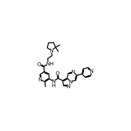 Cc1ncc(C(=O)NCCN2CCCC2(C)C)cc1NC(=O)c1cnn2cc(-c3ccncc3)ncc12